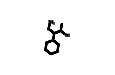 CC(O)C(ON)N1CCCCC1